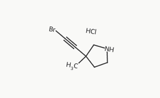 CC1(C#CBr)CCNC1.Cl